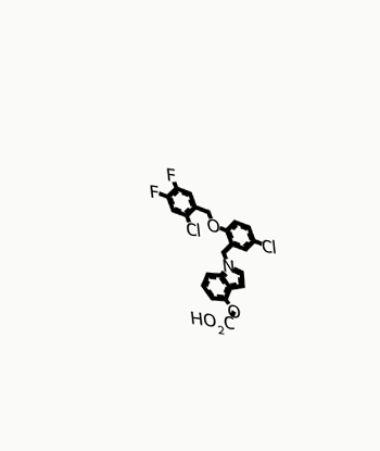 O=C(O)Oc1cccc2c1ccn2Cc1cc(Cl)ccc1OCc1cc(F)c(F)cc1Cl